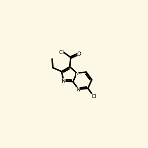 CCc1nc2nc(Cl)ccn2c1C(=O)Cl